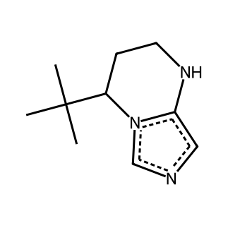 CC(C)(C)C1CCNc2cncn21